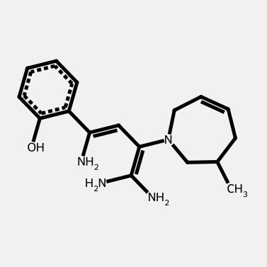 CC1CC=CCN(C(/C=C(\N)c2ccccc2O)=C(N)N)C1